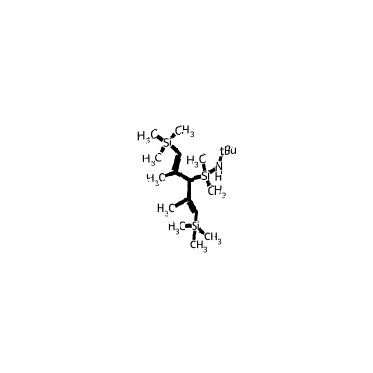 CC(=C[Si](C)(C)C)C(C(C)=C[Si](C)(C)C)[Si](C)(C)NC(C)(C)C